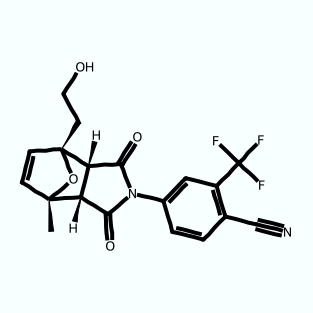 C[C@@]12C=C[C@@](CCO)(O1)[C@@H]1C(=O)N(c3ccc(C#N)c(C(F)(F)F)c3)C(=O)[C@@H]12